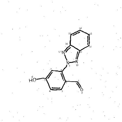 O=Cc1ccc(O)cc1-n1nc2ccccc2n1